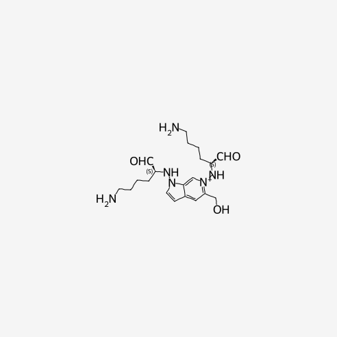 NCCCC[C@@H](C=O)Nn1ccc2cc(CO)[n+](N[C@H](C=O)CCCCN)cc21